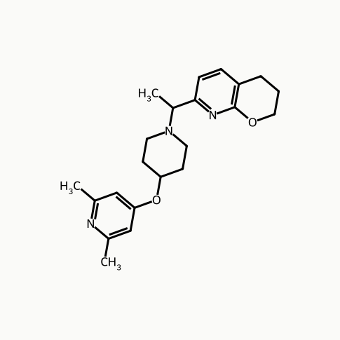 Cc1cc(OC2CCN(C(C)c3ccc4c(n3)OCCC4)CC2)cc(C)n1